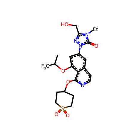 CCn1c(CO)nn(-c2cc(OC(C)C(F)(F)F)c3c(OC4CCS(=O)(=O)CC4)nccc3c2)c1=O